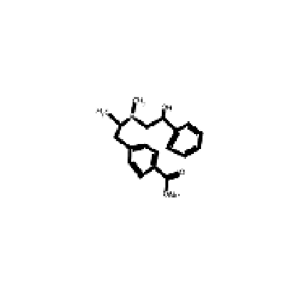 COC(=O)c1ccc(CC(C)N(C)CC(O)c2ccccc2)cc1